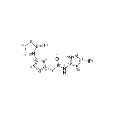 CC(C)c1cnc(NC(=O)Cc2csc(N3CCCC3=O)c2)s1